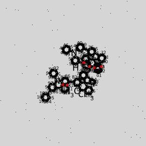 CC1(C)c2ccccc2C2(c3ccccc3-c3c(CC4(C)c5ccccc5C5(c6ccccc6-c6ccc(-c7cccc(N(c8ccccc8)c8cccc(-c9ccc(-c%10ccccc%10)cc9)c8)c7)cc65)c5ccccc54)cccc32)c2ccc(-c3ccc(N(c4ccccc4)c4ccc(-c5ccccc5)cc4-c4ccccc4)cc3)cc21